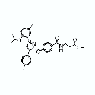 Cc1ccc(-c2cn(-c3cc(C)ccc3OC(C)C)nc2Oc2ccc(C(=O)NCCC(=O)O)cc2)cc1